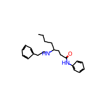 CCCCC(CCC(=O)Nc1ccccc1)NCCc1ccccc1